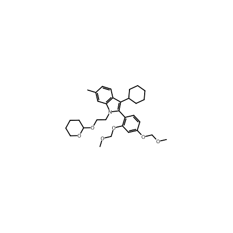 COCOc1ccc(-c2c(C3CCCCC3)c3ccc(C)cc3n2CCOC2CCCCO2)c(OCOC)c1